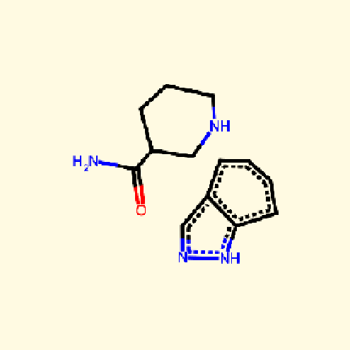 NC(=O)C1CCCNC1.c1ccc2[nH]ncc2c1